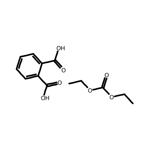 CCOC(=O)OCC.O=C(O)c1ccccc1C(=O)O